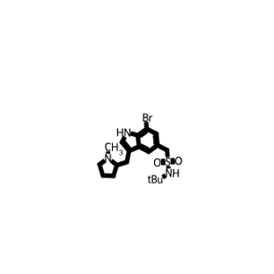 CN1CCCC1Cc1c[nH]c2c(Br)cc(CS(=O)(=O)NC(C)(C)C)cc12